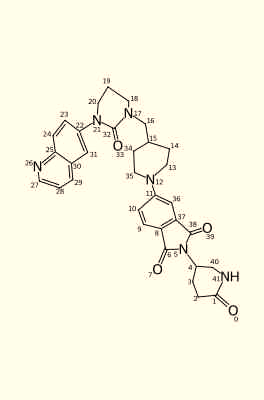 O=C1CCC(N2C(=O)c3ccc(N4CCC(CN5CCCN(c6ccc7ncccc7c6)C5=O)CC4)cc3C2=O)CN1